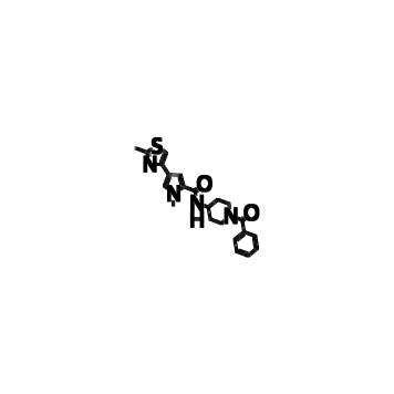 Cc1nc(-c2cc(C(=O)NC3CCN(C(=O)c4ccccc4)CC3)n(C)c2)cs1